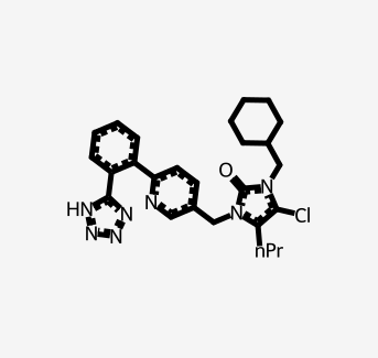 CCCc1c(Cl)n(CC2CCCCC2)c(=O)n1Cc1ccc(-c2ccccc2-c2nnn[nH]2)nc1